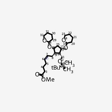 COC(=O)CCC/C=C\C[C@@H]1[C@@H](CO[Si](C)(C)C(C)(C)C)[C@H](OC2CCCCO2)C[C@H]1OC1CCCCO1